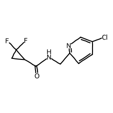 O=C(NCc1ccc(Cl)cn1)C1CC1(F)F